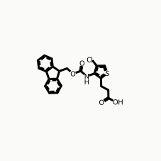 O=C(O)CCc1scc(Cl)c1NC(=O)OCC1c2ccccc2-c2ccccc21